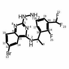 CC(Nc1nc(NN)nc2ccc(Br)cc12)c1cccc(C(F)F)c1F